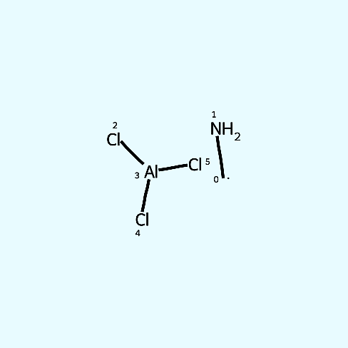 [CH2]N.[Cl][Al]([Cl])[Cl]